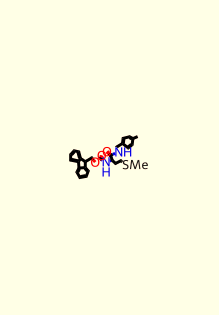 CSCCC(NC(=O)OCC1c2ccccc2-c2ccccc21)C(=O)NCc1ccc(C)cc1